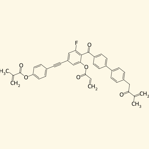 C=CC(=O)Oc1cc(C#Cc2ccc(OC(=O)C(=C)C)cc2)cc(F)c1C(=O)c1ccc(-c2ccc(CC(=O)C(=C)C)cc2)cc1